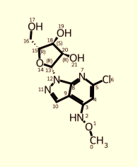 CONc1cc(Cl)nc2c1cnn2[C@@H]1O[C@H](CO)[C@@H](O)[C@H]1O